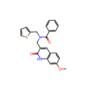 COc1ccc2cc(CN(Cc3cccs3)C(=O)c3ccccc3)c(=O)[nH]c2c1